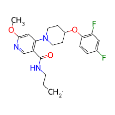 [CH2]CCNC(=O)c1cnc(OC)cc1N1CCC(Oc2ccc(F)cc2F)CC1